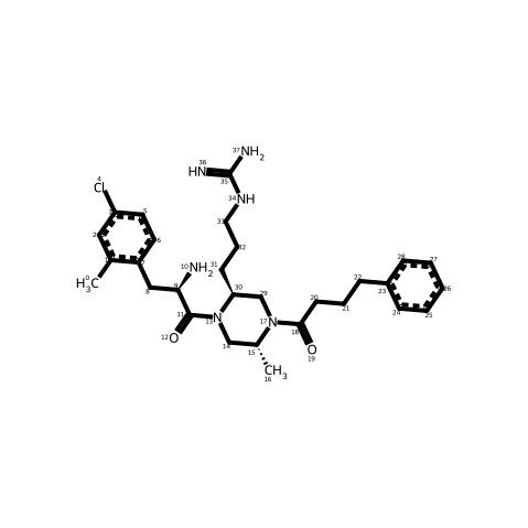 Cc1cc(Cl)ccc1C[C@@H](N)C(=O)N1C[C@@H](C)N(C(=O)CCCc2ccccc2)C[C@@H]1CCCNC(=N)N